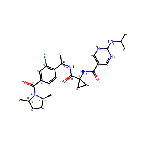 CC(C)Nc1ncc(C(=O)NC2(C(=O)N[C@H](C)c3ccc(C(=O)N4[C@H](C)CC[C@@H]4C)cc3F)CC2)cn1